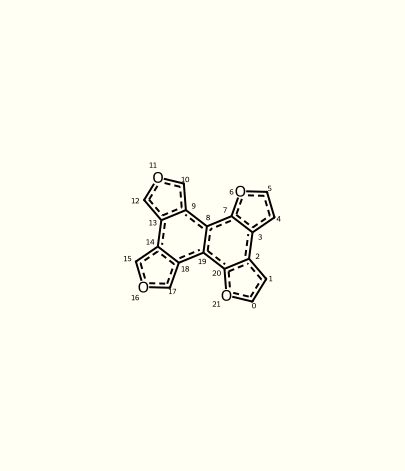 c1cc2c3ccoc3c3c4cocc4c4cocc4c3c2o1